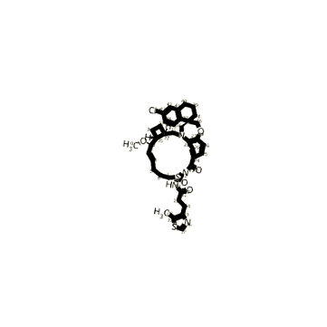 CO[C@H]1/C=C/CCCS(=O)(NC(=O)CCc2ncsc2C)=NC(=O)c2ccc3c(c2)N(C[C@@H]2CC[C@H]21)C[C@@]1(CCCc2cc(Cl)ccc21)CO3